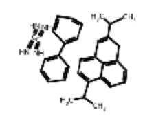 CC(C)C1=Cc2ccc(C(C)C)c3cccc(c23)C1.N=C=N.N=C=N.c1ccc(-c2ccccc2)cc1